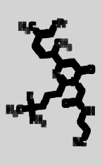 CCCC=C(C)/C=C\C(C)c1cc(=O)n(CC(=O)NCCC#N)c(CCCC(C)(F)P)n1